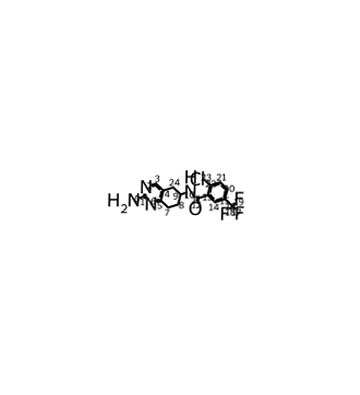 Nc1ncc2c(n1)CCC(NC(=O)c1cc(C(F)(F)F)ccc1Cl)C2